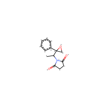 CC(N1C(=O)CCC1=O)C1(c2ccccc2)CO1